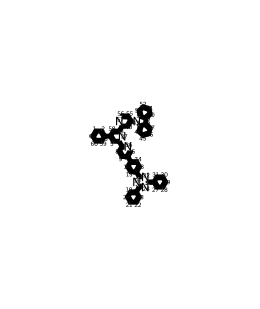 c1ccc(-c2cc(-c3ccc(-c4ccc(-c5nc(-c6ccccc6)nc(-c6ccccc6)n5)cc4)cn3)nc(-c3cc(-n4c5ccccc5c5ccccc54)ccn3)c2)cc1